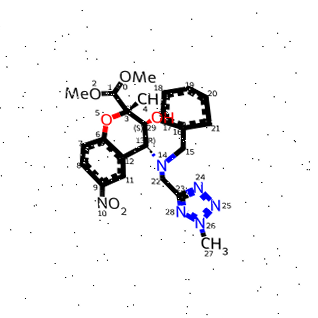 COC(OC)[C@@]1(C)Oc2ccc([N+](=O)[O-])cc2[C@@H](N(Cc2ccccc2)Cc2nnn(C)n2)[C@@H]1O